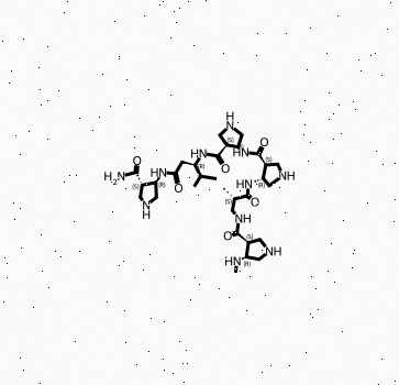 CN[C@H]1CNC[C@@H]1C(=O)NC[C@H](C)C(=O)N[C@H]1CNC[C@@H]1C(=O)N[C@H]1CNC[C@@H]1C(=O)N[C@H](CC(=O)N[C@H]1CNC[C@@H]1C(N)=O)C(C)C